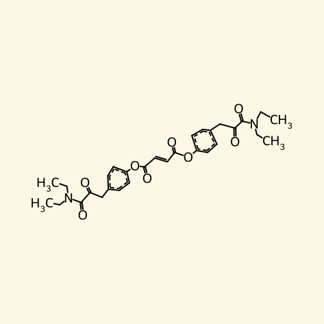 CCN(CC)C(=O)C(=O)Cc1ccc(OC(=O)/C=C/C(=O)Oc2ccc(CC(=O)C(=O)N(CC)CC)cc2)cc1